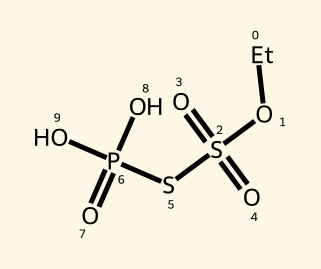 CCOS(=O)(=O)SP(=O)(O)O